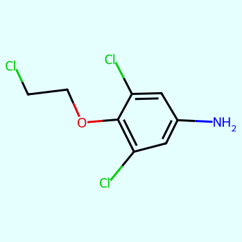 Nc1cc(Cl)c(OCCCl)c(Cl)c1